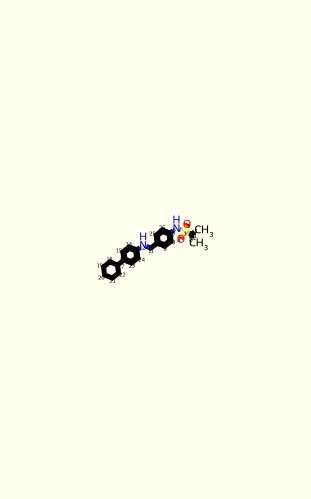 CC(C)S(=O)(=O)Nc1ccc(CNc2ccc(C3CCCCC3)cc2)cc1